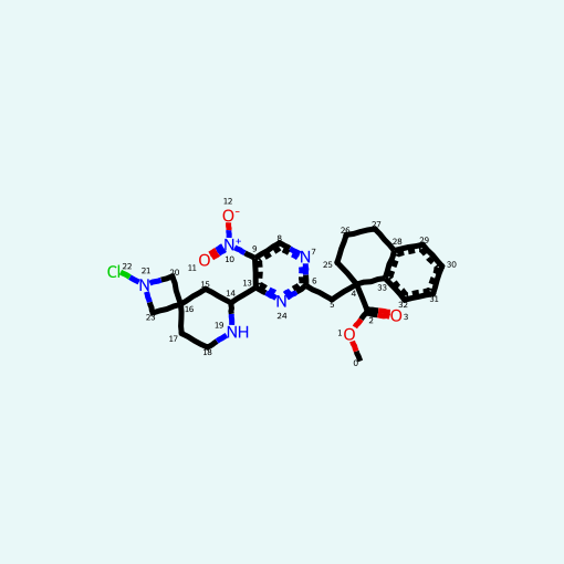 COC(=O)C1(Cc2ncc([N+](=O)[O-])c(C3CC4(CCN3)CN(Cl)C4)n2)CCCc2ccccc21